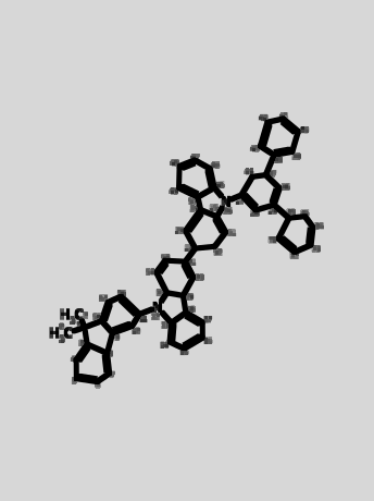 CC1(C)c2ccccc2-c2cc(N3c4ccccc4C4C=C(C5C=c6c(n(C7=CC(C8C=CC=CC8)=CC(c8ccccc8)C7)c7ccccc67)=CC5)C=CC43)ccc21